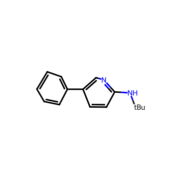 CC(C)(C)Nc1ccc(-c2ccccc2)cn1